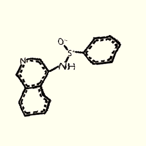 [O-][S+](Nc1cncc2ccccc12)c1ccccc1